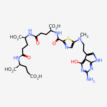 CN(CCc1c[nH]c2nc(N)nc(O)c12)c1cnc(C(=O)N[C@@H](CCC(=O)N[C@@H](CCC(=O)N[C@@H](CCC(=O)O)C(=O)O)C(=O)O)C(=O)O)s1